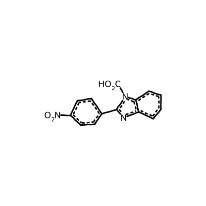 O=C(O)n1c(-c2ccc([N+](=O)[O-])cc2)nc2ccccc21